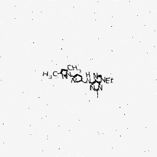 CCn1cnc2c(NCc3ccc(-n4nc(C)cc4C)nc3)nc(I)nc21